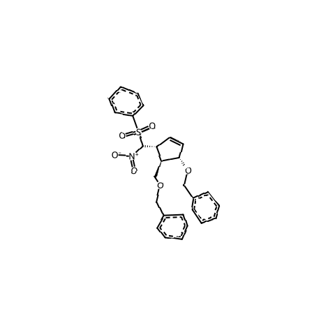 O=[N+]([O-])C([C@@H]1C=C[C@H](OCc2ccccc2)[C@H]1COCc1ccccc1)S(=O)(=O)c1ccccc1